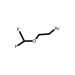 CC(=O)CCOC(F)F